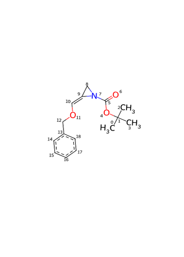 CC(C)(C)OC(=O)N1CC1=COCc1ccccc1